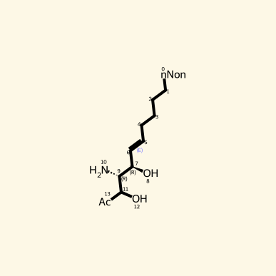 CCCCCCCCCCCCC/C=C/[C@@H](O)[C@@H](N)C(O)[14C](C)=O